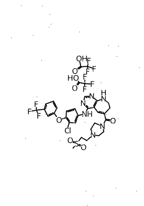 CS(=O)(=O)CCN1CCN(C(=O)C2=Cc3c(ncnc3Nc3ccc(Oc4cccc(C(F)(F)F)c4)c(Cl)c3)NCC2)CC1.O=C(O)C(F)(F)F.O=C(O)C(F)(F)F